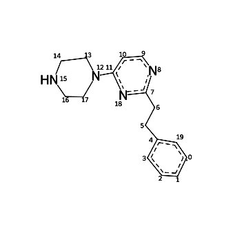 [c]1cccc(CCc2nccc(N3CCNCC3)n2)c1